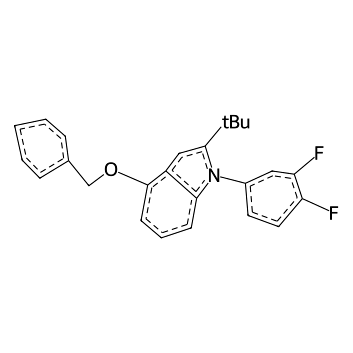 CC(C)(C)c1cc2c(OCc3ccccc3)cccc2n1-c1ccc(F)c(F)c1